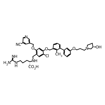 Cc1c(COc2cc(OCc3cncc(C#N)c3)c(CN[C@@H](CCCNC(=N)N)C(=O)O)cc2Cl)cccc1-c1cccc(OCCCN2CC[C@@H](O)C2)c1